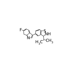 CC(C)C1NSc2ccc(C3=CN=C4CC(F)=CC=C34)cc21